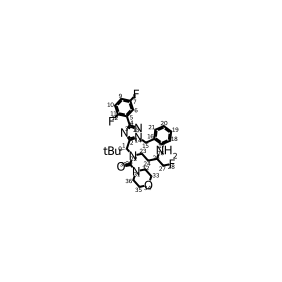 CC(C)(C)[C@H](c1nc(-c2cc(F)ccc2F)nn1Cc1ccccc1)N(CCC(N)CF)C(=O)N1CCOCC1